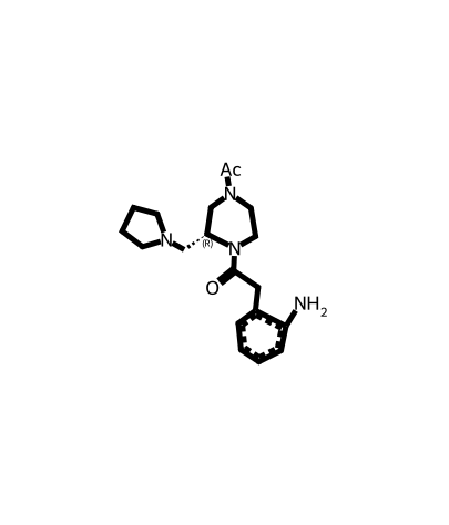 CC(=O)N1CCN(C(=O)Cc2ccccc2N)[C@H](CN2CCCC2)C1